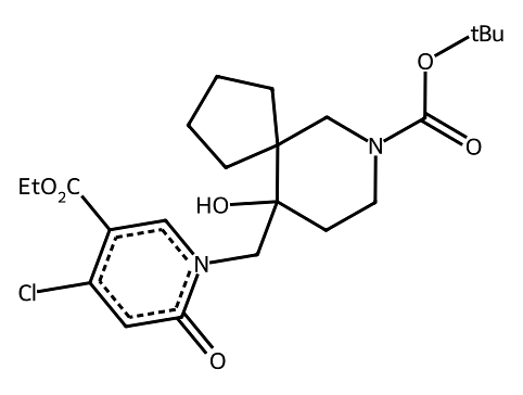 CCOC(=O)c1cn(CC2(O)CCN(C(=O)OC(C)(C)C)CC23CCCC3)c(=O)cc1Cl